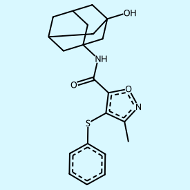 Cc1noc(C(=O)NC23CC4CC(CC(O)(C4)C2)C3)c1Sc1ccccc1